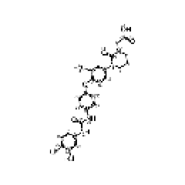 Cc1cc(N2CCCN(CC(=O)O)C2=O)ccc1Oc1ccc(NC(=O)Nc2ccc(Cl)c(Cl)c2)cn1